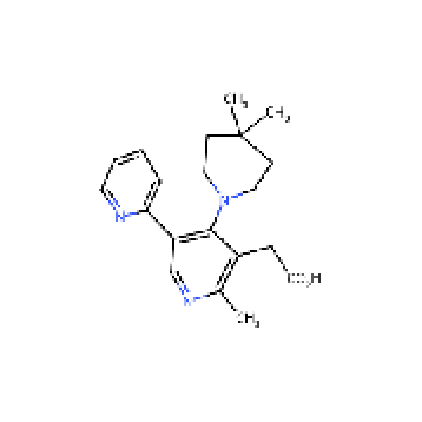 Cc1ncc(-c2ccccn2)c(N2CCC(C)(C)CC2)c1CC(=O)O